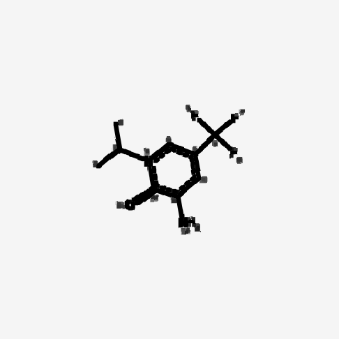 CC(C)n1cc(C(F)(F)F)cc(N)c1=O